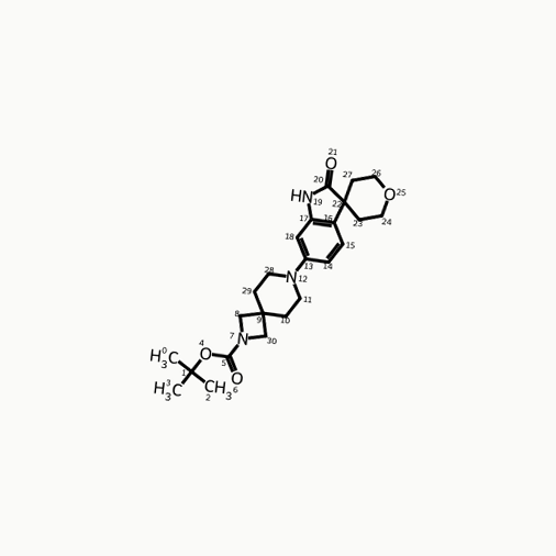 CC(C)(C)OC(=O)N1CC2(CCN(c3ccc4c(c3)NC(=O)C43CCOCC3)CC2)C1